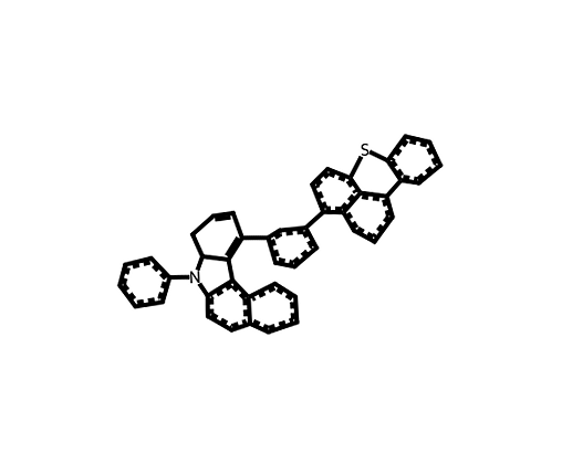 C1=CC(c2cccc(-c3ccc4c5c(cccc35)-c3ccccc3S4)c2)=C2c3c(ccc4ccccc34)N(c3ccccc3)C2C1